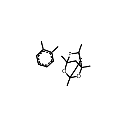 CC12CC3(C)OC(C)(CC(C)(O1)[P]3)O2.Cc1ccccc1C